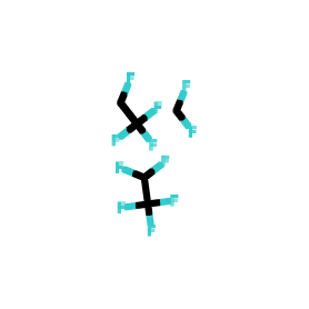 FC(F)C(F)(F)F.FCC(F)(F)F.FCF